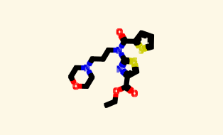 CCOC(=O)c1csc(N(CCCN2CCOCC2)C(=O)c2cccs2)n1